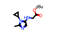 Cc1ncc(NCC(=O)OC(C)(C)C)n1C1CC1